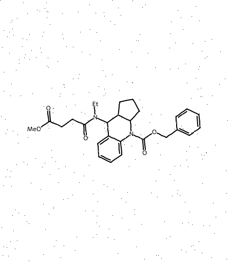 CCN(C(=O)CCC(=O)OC)C1c2ccccc2N(C(=O)OCc2ccccc2)C2CCCC12